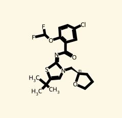 CC(C)(C)c1cn(C[C@H]2CCCO2)c(=NC(=O)c2cc(Cl)ccc2OC(F)F)s1